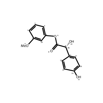 COc1cccc(OC(=O)[C@H](O)c2ccc(O)cc2)c1